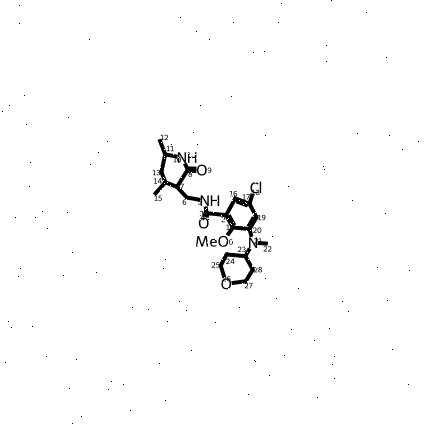 COc1c(C(=O)NCC2C(=O)NC(C)CC2C)cc(Cl)cc1N(C)C1CCOCC1